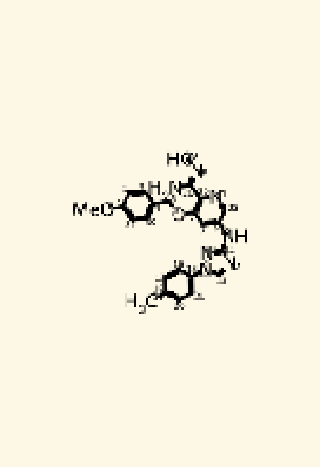 COc1ccc(COc2cc(Nc3ncn(-c4ccc(C)cc4)n3)cnc2/C(N)=N/O)cc1